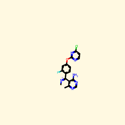 C/N=C(/c1ccc(Oc2nccc(Cl)n2)cc1F)c1c(C)ncnc1N